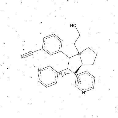 N#Cc1cccc(C(C(c2cccnc2)c2cccnc2)[N+]2(CCO)CCC[C@H]2C(N)=O)c1